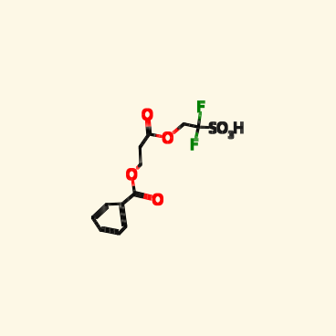 O=C(CCOC(=O)c1ccccc1)OCC(F)(F)S(=O)(=O)O